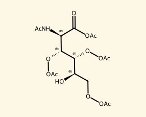 CC(=O)N[C@@H](C(=O)OC(C)=O)[C@@H](OOC(C)=O)[C@H](OOC(C)=O)[C@H](O)COOC(C)=O